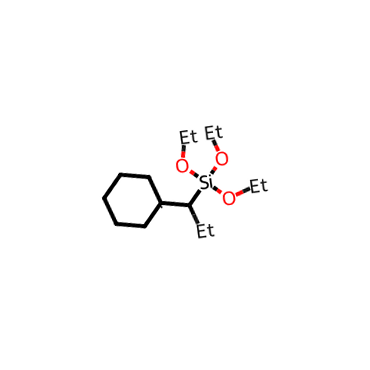 CCO[Si](OCC)(OCC)C(CC)[C]1CCCCC1